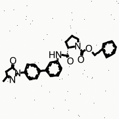 CC1=NN(c2ccc(-c3cccc(NC(=O)[C@@H]4CCCN4C(=O)OCc4ccccc4)c3)cc2)C(=O)C1